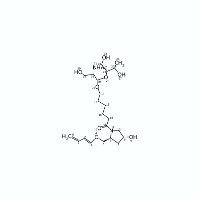 C=C/C=C/OC[C@@H]1C[C@@H](O)CN1C(=O)CCCCCOC(OC(CO)[C@@H](C)O)[C@H](CO)NC(C)=O